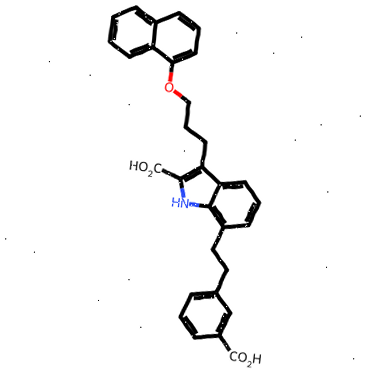 O=C(O)c1cccc(CCc2cccc3c(CCCOc4cccc5ccccc45)c(C(=O)O)[nH]c23)c1